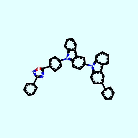 c1ccc(-c2ccc3c(c2)c2ccccc2n3-c2ccc3c(c2)c2ccccc2n3-c2ccc(-c3nc(-c4ccccc4)no3)cc2)cc1